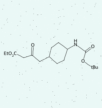 CCOC(=O)CC(=O)CC1CCC(NC(=O)OC(C)(C)C)CC1